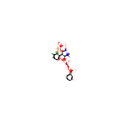 COC(=O)OC1=C(C)NC(C)=C(C(=O)OCCOC(=O)c2ccccc2)C1c1cccc(Cl)c1Cl